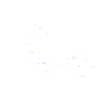 COc1cc(-c2cnn([C@H]3CCN(C(=O)C4CCNCC4)C3)c2)cn2ncc(C#N)c12